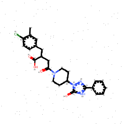 Cc1cc(CC(CC(=O)N2CCC(n3nc(-c4ccccc4)[nH]c3=O)CC2)C(=O)O)ccc1Cl